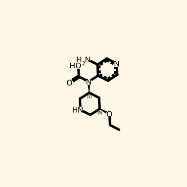 CCO[C@H]1CNC[C@@H](N(C(=O)O)c2ccncc2N)C1